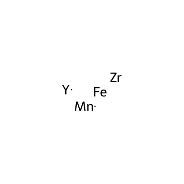 [Fe].[Mn].[Y].[Zr]